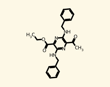 CCOC(=O)c1nc(NCc2ccccc2)c(C(C)=O)nc1NCc1ccccc1